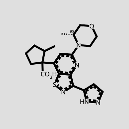 CC1CCCC1(C(=O)O)c1cc(N2CCOC[C@H]2C)nc2c(-c3ccn[nH]3)nsc12